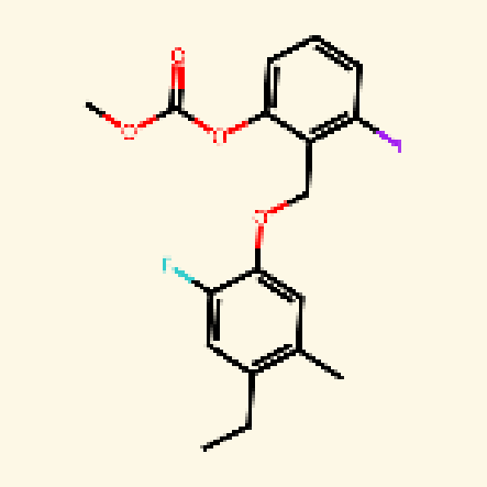 CCc1cc(F)c(OCc2c(I)cccc2OC(=O)OC)cc1C